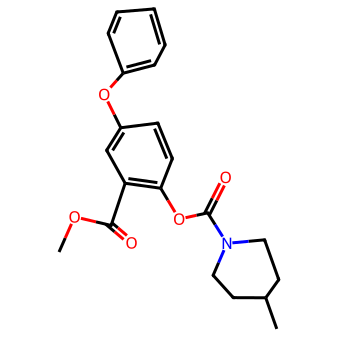 COC(=O)c1cc(Oc2ccccc2)ccc1OC(=O)N1CCC(C)CC1